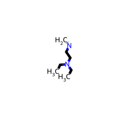 C=NCCN(CC)CC